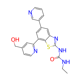 CCNC(=O)Nc1nc2cc(-c3cccnc3)cc(-c3cc(CO)ccn3)c2s1